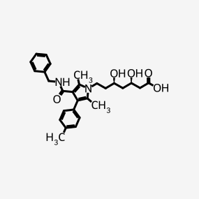 Cc1ccc(-c2c(C(=O)NCc3ccccc3)c(C)n(CC[C@@H](O)C[C@@H](O)CC(=O)O)c2C)cc1